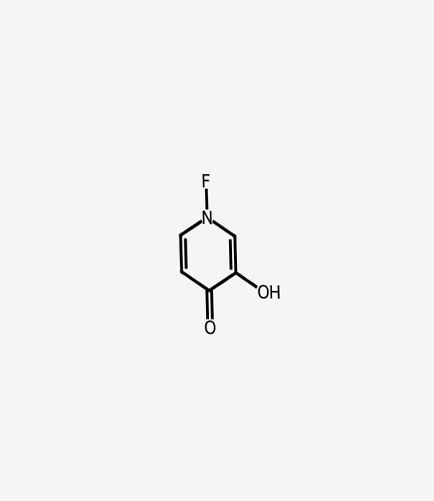 O=c1ccn(F)cc1O